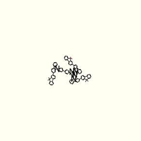 CC1(C)c2ccccc2-c2ccc(-c3ccc4c5ccccc5n(-c5ccc(-c6ccc(-c7cc(-n8c9ccccc9c9ccc(-c%10ccc%11c(c%10)C(C)(C)c%10ccccc%10-%11)cc98)nc(-n8c9ccccc9c9ccc(-c%10ccc%11c(c%10)C(C)(C)c%10ccccc%10-%11)cc98)n7)cc6)cc5)c4c3)cc21